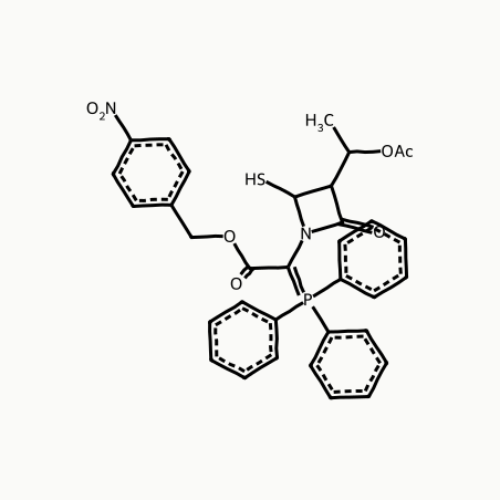 CC(=O)OC(C)C1C(=O)N(C(C(=O)OCc2ccc([N+](=O)[O-])cc2)=P(c2ccccc2)(c2ccccc2)c2ccccc2)C1S